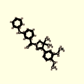 COc1ccc(C2=NN(C(=O)c3cccc(Oc4ccccc4)c3)CC2(C)C)cc1OC